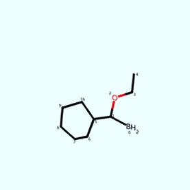 BC(OCC)C1CCCCC1